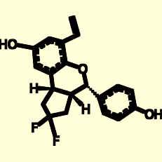 C=Cc1cc(O)cc2c1O[C@H](c1ccc(O)cc1)[C@@H]1CC(F)(F)C[C@H]21